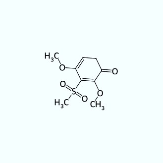 COC1=CCC(=O)C(OC)=C1S(C)(=O)=O